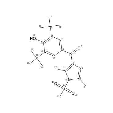 Cc1cc(C(=O)c2cc(C(C)(C)C)c(O)c(C(C)(C)C)c2)c(C)n1S(C)(=O)=O